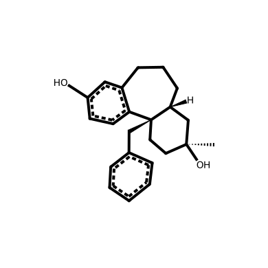 C[C@]1(O)CC[C@]2(Cc3ccccc3)c3ccc(O)cc3CCC[C@@H]2C1